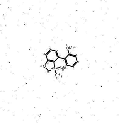 COc1ccccc1-c1cccc2c1[PH](C)(C(C)(C)C)CO2